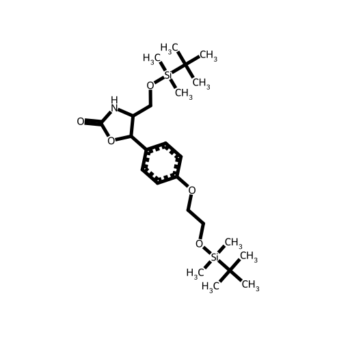 CC(C)(C)[Si](C)(C)OCCOc1ccc(C2OC(=O)NC2CO[Si](C)(C)C(C)(C)C)cc1